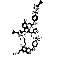 CS(=O)(=O)N1CCC(Nc2ncc3cc(CCO)c(=O)n(CCCS(=O)(=O)n4nc(C5CC5)nc4-c4nc(NC5CCOC5)nc5c4ccc(=O)n5CC(=O)Nc4ccc(S(=O)(=O)n5cnc(C6CC6)n5)cc4)c3n2)CC1